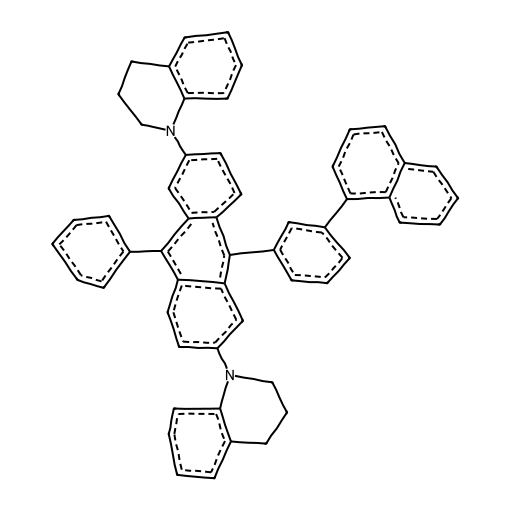 c1ccc(-c2c3ccc(N4CCCc5ccccc54)cc3c(-c3cccc(-c4cccc5ccccc45)c3)c3ccc(N4CCCc5ccccc54)cc23)cc1